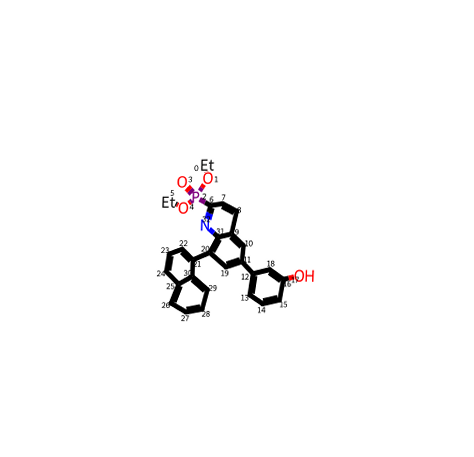 CCOP(=O)(OCC)c1ccc2cc(-c3cccc(O)c3)cc(-c3cccc4ccccc34)c2n1